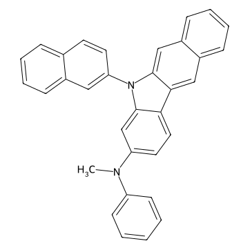 CN(c1ccccc1)c1ccc2c3cc4ccccc4cc3n(-c3ccc4ccccc4c3)c2c1